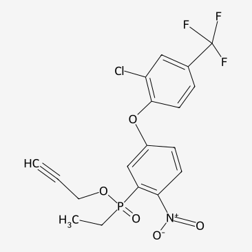 C#CCOP(=O)(CC)c1cc(Oc2ccc(C(F)(F)F)cc2Cl)ccc1[N+](=O)[O-]